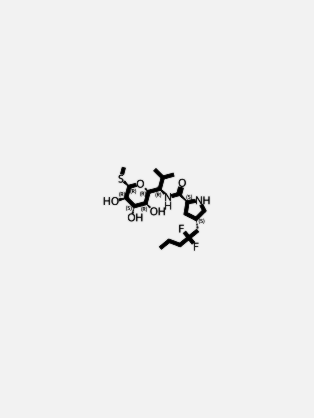 CCCC(F)(F)C[C@H]1CN[C@H](C(=O)N[C@H](C(C)C)[C@H]2O[C@H](SC)[C@H](O)[C@@H](O)[C@H]2O)C1